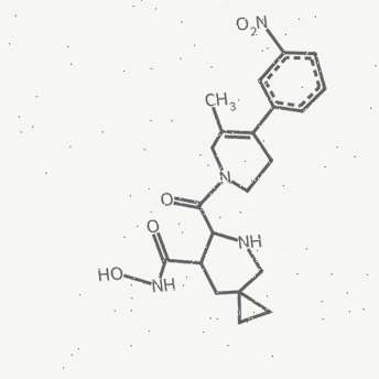 CC1=C(c2cccc([N+](=O)[O-])c2)CCN(C(=O)C2NCC3(CC3)CC2C(=O)NO)C1